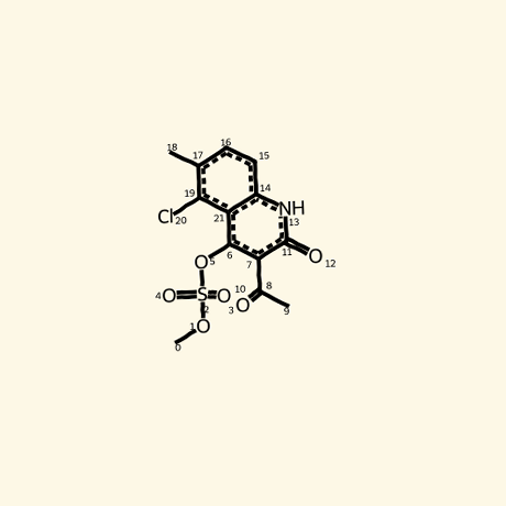 COS(=O)(=O)Oc1c(C(C)=O)c(=O)[nH]c2ccc(C)c(Cl)c12